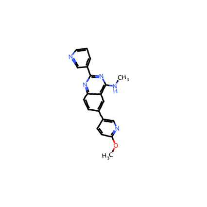 CNc1nc(-c2cccnc2)nc2ccc(-c3ccc(OC)nc3)cc12